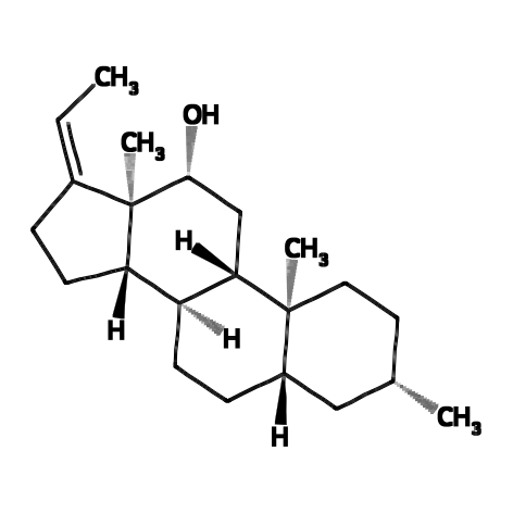 C/C=C1/CC[C@H]2[C@@H]3CC[C@H]4C[C@@H](C)CC[C@]4(C)[C@H]3C[C@@H](O)[C@]12C